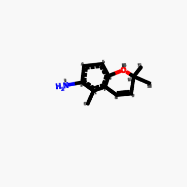 Cc1c(N)ccc2c1C=CC(C)(C)O2